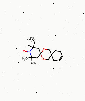 CCC1(CC)CC2(CC(C)(C)N1[O])OCC1(CC=CCC1)CO2